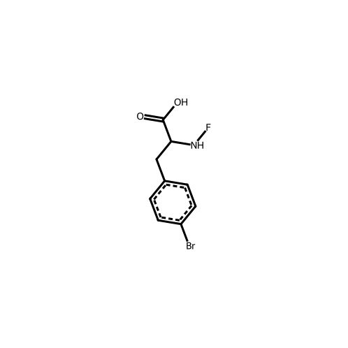 O=C(O)C(Cc1ccc(Br)cc1)NF